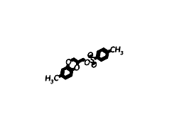 Cc1ccc(S(=O)(=O)OCC2COc3cc(C)ccc3O2)cc1